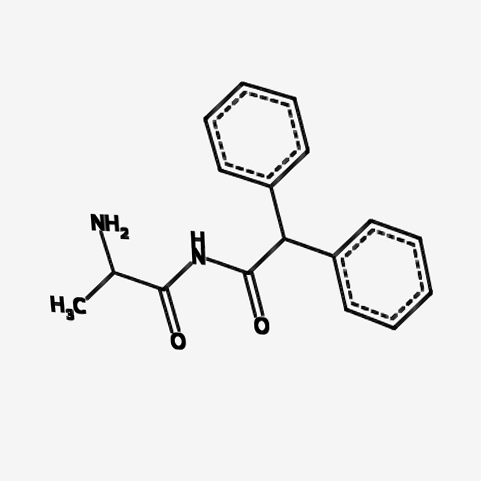 CC(N)C(=O)NC(=O)C(c1ccccc1)c1ccccc1